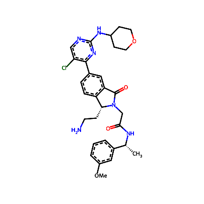 COc1cccc([C@@H](C)NC(=O)CN2C(=O)c3cc(-c4nc(NC5CCOCC5)ncc4Cl)ccc3[C@H]2CCN)c1